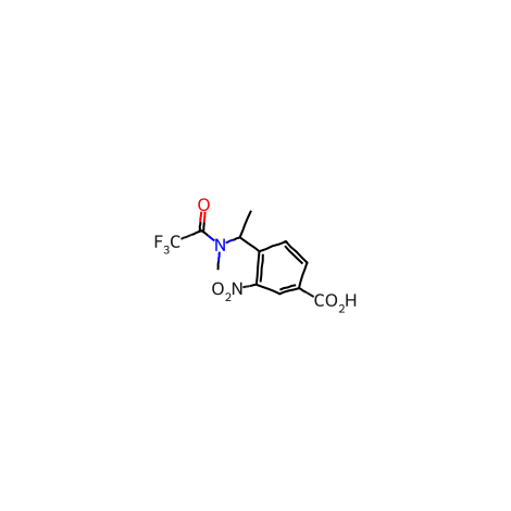 CC(c1ccc(C(=O)O)cc1[N+](=O)[O-])N(C)C(=O)C(F)(F)F